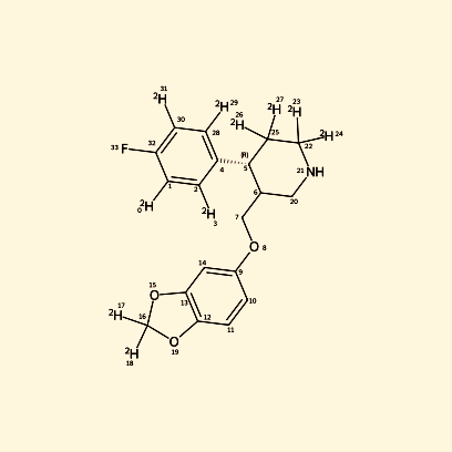 [2H]c1c([2H])c([C@H]2C(COc3ccc4c(c3)OC([2H])([2H])O4)CNC([2H])([2H])C2([2H])[2H])c([2H])c([2H])c1F